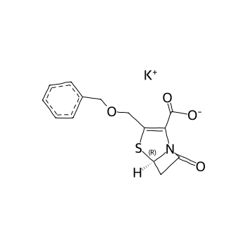 O=C([O-])C1=C(COCc2ccccc2)S[C@@H]2CC(=O)N12.[K+]